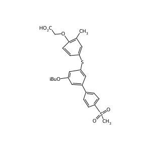 Cc1cc(Sc2cc(OCC(C)C)cc(-c3ccc(S(C)(=O)=O)cc3)c2)ccc1OCC(=O)O